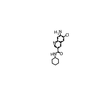 Nc1cc2ncc(C(=O)NC3CCCCC3)cc2cc1Cl